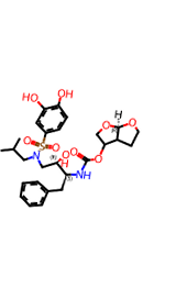 CC(C)CN(C[C@@H](O)[C@H](Cc1ccccc1)NC(=O)OC1CO[C@H]2OCCC12)S(=O)(=O)c1ccc(O)c(O)c1